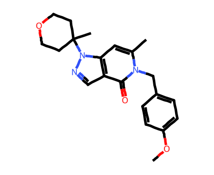 COc1ccc(Cn2c(C)cc3c(cnn3C3(C)CCOCC3)c2=O)cc1